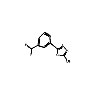 Oc1nnc(-c2cccc(C(F)F)c2)o1